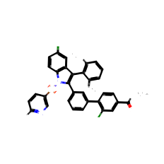 COC(=O)c1ccc(-c2cccc(-c3c(-c4c(C#N)cccc4C#N)c4cc(F)ccc4n3S(=O)(=O)c3ccc(C(F)(F)F)nc3)c2)c(Cl)c1